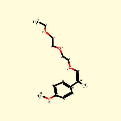 CCOCCOCCO/C=C(/C)c1ccc(OC)cc1